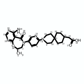 C[C@@H]1CN(c2ccc(N3CCC4(CCC(CC(=O)O)CC4)CC3)nc2)C(=O)c2c(N)ncnc2O1